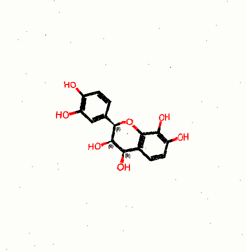 Oc1ccc([C@H]2Oc3c(ccc(O)c3O)[C@@H](O)[C@H]2O)cc1O